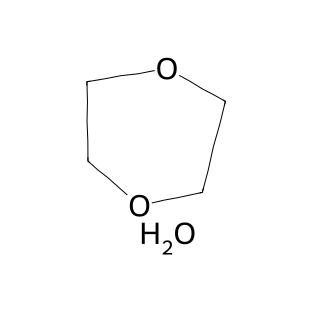 C1COCCO1.O